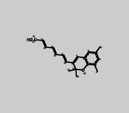 Cc1cc(C)c2c(c1)C=C(C=CC=CC=CC(=O)O)C(C)(C)O2